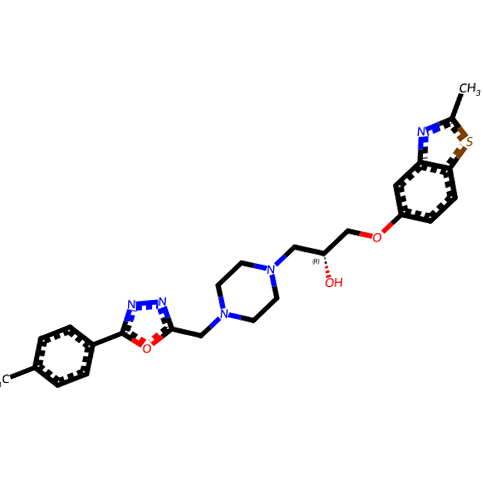 Cc1ccc(-c2nnc(CN3CCN(C[C@@H](O)COc4ccc5sc(C)nc5c4)CC3)o2)cc1